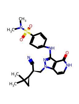 CN(C)S(=O)(=O)c1ccc(Nc2nn(C[C@H](C#N)[C@H]3CC3(C)C)c3cc[nH]c(=O)c23)cc1